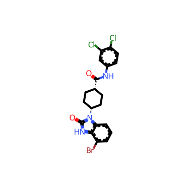 O=c1[nH]c2c(Br)cccc2n1[C@H]1CC[C@@H](C(=O)Nc2ccc(Cl)c(Cl)c2)CC1